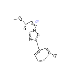 COC(=O)/C=C\n1cnc(-c2cccc(Cl)c2)n1